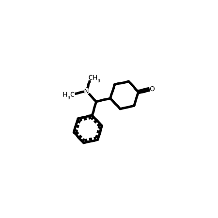 CN(C)C(c1ccccc1)C1CCC(=O)CC1